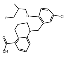 CC(CF)COc1ccc(Cl)cc1CN1CCCc2c(C(=O)O)cccc21